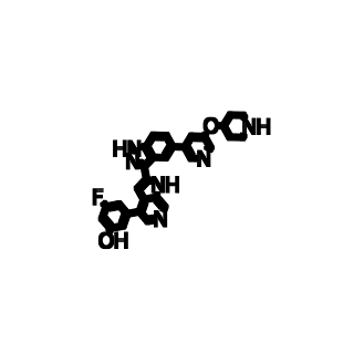 Oc1cc(F)cc(-c2cncc3[nH]c(-c4n[nH]c5ccc(-c6cncc(OC7CCNCC7)c6)cc45)cc23)c1